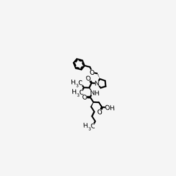 CCCCC[C@H](CC(=O)O)C(=O)N[C@H](C(=O)N1CCC[C@H]1COCc1ccccc1)C(C)C